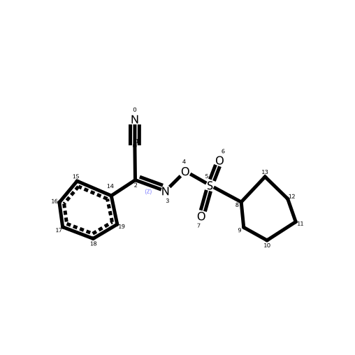 N#C/C(=N\OS(=O)(=O)C1CCCCC1)c1ccccc1